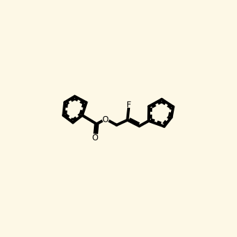 O=C(OCC(F)=Cc1ccccc1)c1ccccc1